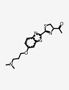 CC(=O)C1CSC(c2nc3ccc(OCCCN(C)C)cc3s2)=N1